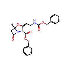 O=C(NC/C=C1/O[C@H]2CC(=O)N2[C@@H]1C(=O)OCc1ccccc1)OCc1ccccc1